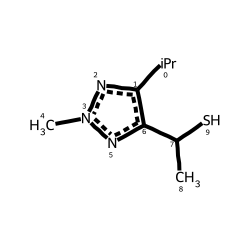 CC(C)c1nn(C)nc1C(C)S